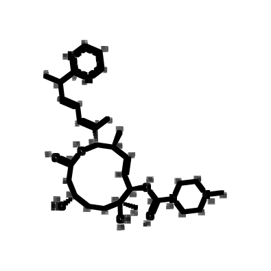 C/C(=C\C=C\C(C)c1ncccn1)[C@H]1OC(=O)C[C@@H](O)CC[C@](C)(O)[C@H](OC(=O)N2CCN(C)CC2)/C=C/[C@@H]1C